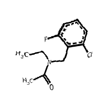 CCN(Cc1c(F)cccc1Cl)C(C)=O